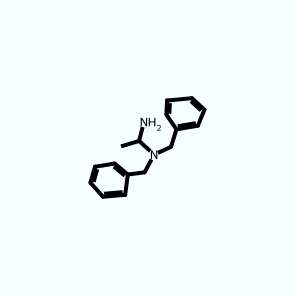 CC(N)N(Cc1ccccc1)Cc1ccccc1